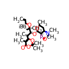 C=CCO[C@](C)(C[C@@H](C)CC)[C@H](O[C@@H]1OC(C)CC(N(C)C)[C@H]1P=O)[C@@H](C)C1=C(C)C(=O)OC(C)(C)O1